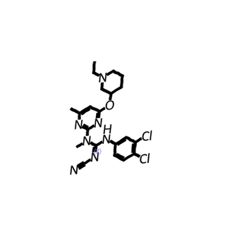 CCN1CCCC(Oc2cc(C)nc(N(C)/C(=N\C#N)Nc3ccc(Cl)c(Cl)c3)n2)C1